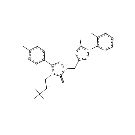 O=c1n(Cc2nc(Br)n(-c3ncccc3F)n2)nc(-c2ccc(Cl)cc2)n1C[C@H](O)C(F)(F)F